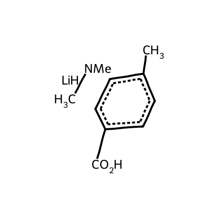 CNC.Cc1ccc(C(=O)O)cc1.[LiH]